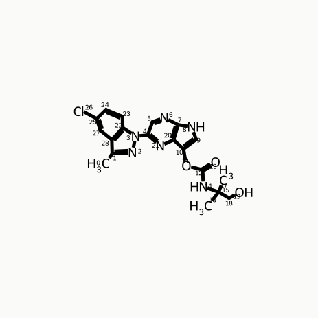 Cc1nn(-c2cnc3[nH]cc(OC(=O)NC(C)(C)CO)c3n2)c2ccc(Cl)cc12